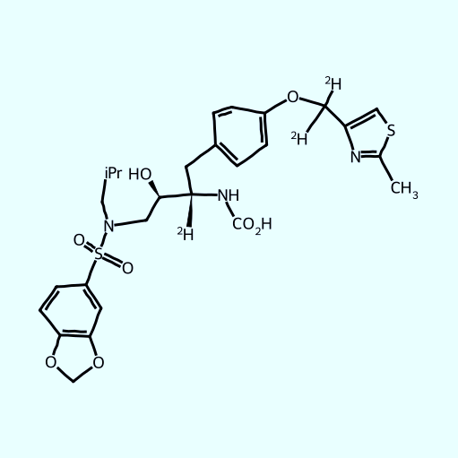 [2H]C([2H])(Oc1ccc(C[C@]([2H])(NC(=O)O)[C@H](O)CN(CC(C)C)S(=O)(=O)c2ccc3c(c2)OCO3)cc1)c1csc(C)n1